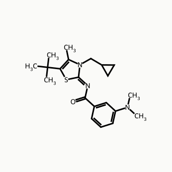 Cc1c(C(C)(C)C)s/c(=N\C(=O)c2cccc(N(C)C)c2)n1CC1CC1